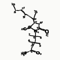 BC(=O)C(C)(C)C(C)(C)N1C(=O)CC(C(C)CCCC)C1=O